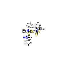 CCN(C(=S)S)C1CCCCC1.CCN(C(=S)[S-])C1CCCCC1.CCNC1CCCCC1.[Na+]